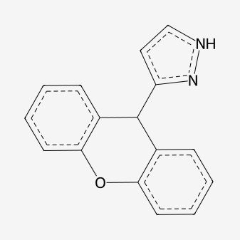 c1ccc2c(c1)Oc1ccccc1C2c1cc[nH]n1